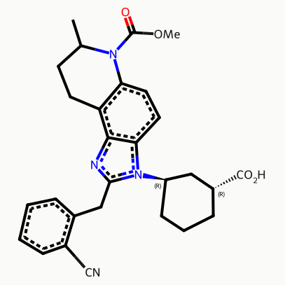 COC(=O)N1c2ccc3c(nc(Cc4ccccc4C#N)n3[C@@H]3CCC[C@@H](C(=O)O)C3)c2CCC1C